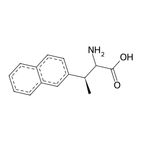 C[C@@H](c1ccc2ccccc2c1)C(N)C(=O)O